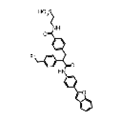 CC(C)Cc1ccc(C(Cc2ccc(C(=O)NCCS(=O)(=O)O)cc2)C(=O)Nc2ccc(-c3cc4ccccc4o3)cc2)cc1